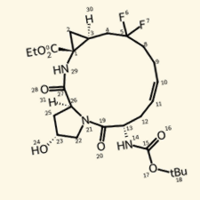 CCOC(=O)[C@@]12C[C@H]1CC(F)(F)CCC=CC[C@H](NC(=O)OC(C)(C)C)C(=O)N1C[C@H](O)C[C@H]1C(=O)N2